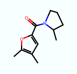 Cc1cc(C(=O)N2CCCC2C)oc1C